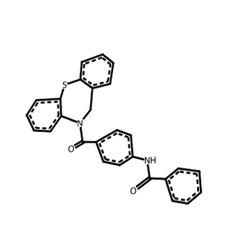 O=C(Nc1ccc(C(=O)N2Cc3ccccc3Sc3ccccc32)cc1)c1ccccc1